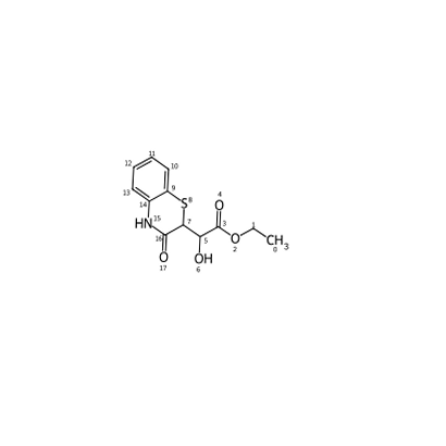 CCOC(=O)C(O)C1Sc2ccccc2NC1=O